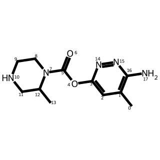 Cc1cc(OC(=O)N2CCNCC2C)nnc1N